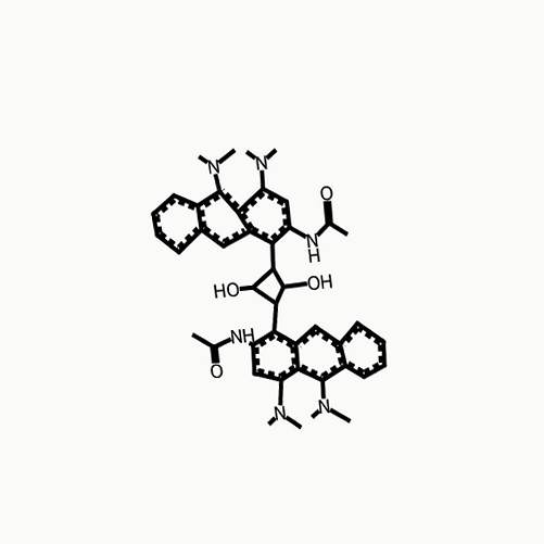 CC(=O)Nc1cc(N(C)C)c2c(N(C)C)c3ccccc3cc2c1C1C(O)C(c2c(NC(C)=O)cc(N(C)C)c3c(N(C)C)c4ccccc4cc23)C1O